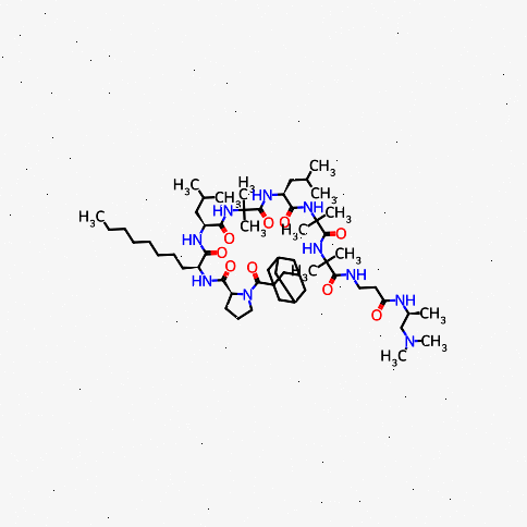 CCCCCCCC[C@H](NC(=O)[C@@H]1CCCN1C(=O)C12CC3CC(CC(C3)C1)C2)C(=O)N[C@@H](CC(C)C)C(=O)NC(C)(C)C(=O)N[C@@H](CC(C)C)C(=O)NC(C)(C)C(=O)NC(C)(C)C(=O)NCCC(=O)N[C@@H](C)CN(C)C